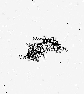 CC[C@H](OC)[C@@H](C)[C@@H]1O[C@H]1[C@H](O)[C@@H](C)/C=C/C=C(\C)[C@@H]1O[C@@H](OC)C[C@H](OCCC[C@H](OC)[C@@H](C)[C@@H]2O[C@H]2[C@H](O)[C@@H](C)/C=C/C=C(\C)[C@@H]2O[C@@H](OC)C[C@H](OC)[C@H]2OC)[C@@H]1OC